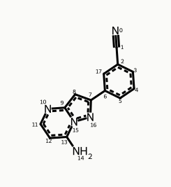 N#Cc1cccc(-c2cc3nccc(N)n3n2)c1